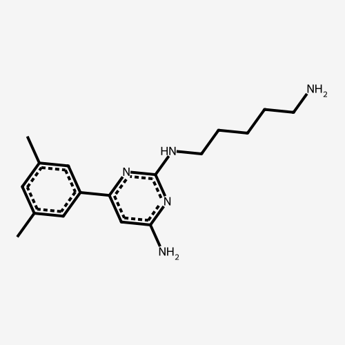 Cc1cc(C)cc(-c2cc(N)nc(NCCCCCN)n2)c1